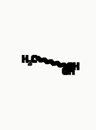 CCCCCCCCCCN(O)O